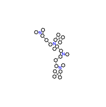 c1ccc(N(c2cccc(-c3cccc(-c4ccc5c(c4)c4cc(-c6ccc(N(c7cccc(-c8ccc(-c9ccc%10c(c9)c9ccccc9n%10-c9ccccc9)cc8)c7)c7ccc8c(c7)C7(c9ccccc9-c9ccccc97)c7ccccc7-8)c7ccccc67)ccc4n5-c4ccccc4)c3)c2)c2ccc3c(c2)C(c2ccccc2)(c2ccccc2)c2ccccc2-3)cc1